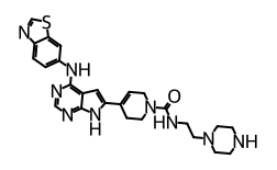 O=C(NCCN1CCNCC1)N1CC=C(c2cc3c(Nc4ccc5ncsc5c4)ncnc3[nH]2)CC1